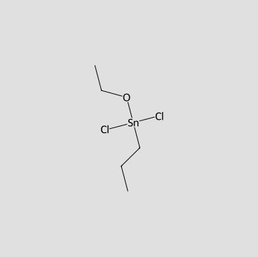 CC[CH2][Sn]([Cl])([Cl])[O]CC